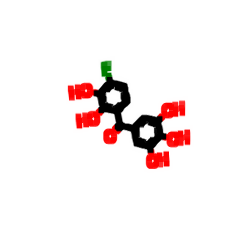 O=C(c1cc(O)c(O)c(O)c1)c1ccc(F)c(O)c1O